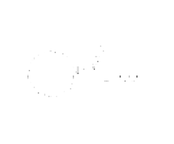 CNCC(=O)N1CCCCCCC1